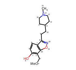 COCc1c(O)ccc2c(CCC3CCN(C)CC3)noc12